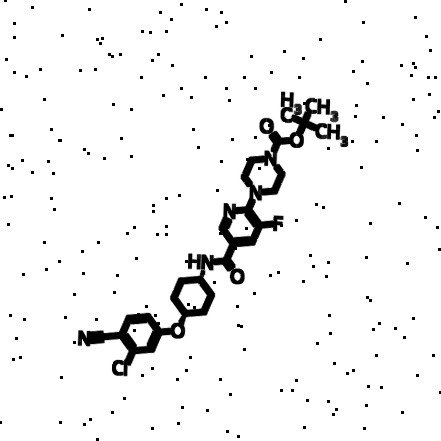 CC(C)(C)OC(=O)N1CCN(c2ncc(C(=O)N[C@H]3CC[C@H](Oc4ccc(C#N)c(Cl)c4)CC3)cc2F)CC1